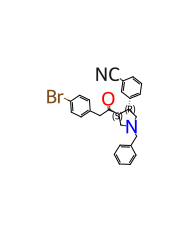 N#Cc1cccc([C@@H]2CN(Cc3ccccc3)C[C@H]2C(=O)Cc2ccc(Br)cc2)c1